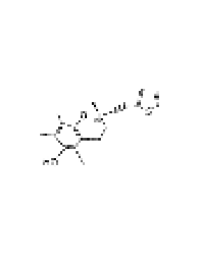 Cc1c(C)c2c(c(C)c1O)CC[C@@](C)(C#Cc1cccs1)O2